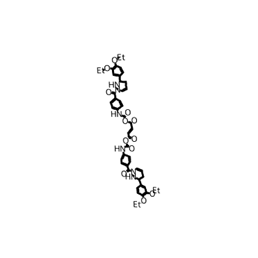 CCOc1ccc(C2CC=CN(C(=O)c3ccc(NC(=O)OC(=O)/C=C/C(=O)OC(=O)Nc4ccc(C(=O)N5C=CCC(c6ccc(OCC)c(OCC)c6)N5)cc4)cc3)N2)cc1OCC